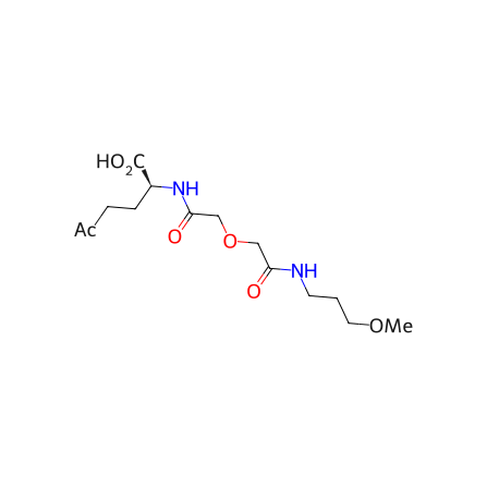 COCCCNC(=O)COCC(=O)N[C@@H](CCC(C)=O)C(=O)O